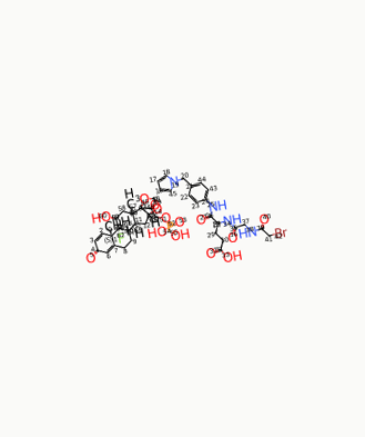 C[C@]12C=CC(=O)C=C1CC[C@H]1[C@@H]3C[C@H]4O[C@@H](c5ccn(Cc6ccc(NC(=O)[C@H](CCC(=O)O)NC(=O)CNC(=O)CBr)cc6)c5)O[C@@]4(C(=O)COP(=O)(O)O)[C@@]3(C)C[C@H](O)[C@@]12F